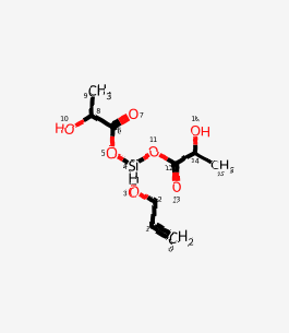 C=CCO[SiH](OC(=O)C(C)O)OC(=O)C(C)O